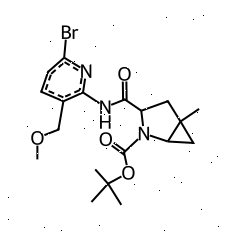 COCc1ccc(Br)nc1NC(=O)C1CC2(C)CC2N1C(=O)OC(C)(C)C